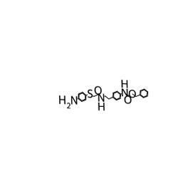 Nc1ccc(SCC(=O)NCCc2ccc(NC(=O)OCc3ccccc3)cc2)cc1